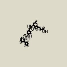 CC(C)CC(NC(=O)Cc1ccc(NC(=O)Nc2ncccc2C2CCCC2)cc1)c1cc(CCC(=O)O)on1